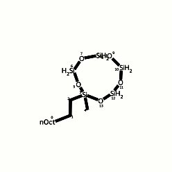 CCCCCCCCCC[Si]1(C)O[SiH2]O[SiH2]O[SiH2]O[SiH2]O1